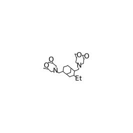 CCC1CC2CC(CCC2CN(CC2CO2)CC2CO2)C1CN(CC1CO1)CC1CO1